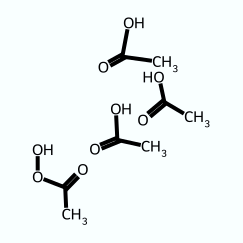 CC(=O)O.CC(=O)O.CC(=O)O.CC(=O)OO